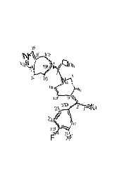 N#CC(=C1CCN(C(=O)N2CCn3cncc3C2)CC1)c1ccc(F)c(F)c1